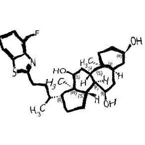 CC(CCc1nc2c(F)cccc2s1)[C@H]1CC[C@H]2[C@@H]3[C@H](O)C[C@@H]4C[C@H](O)CC[C@]4(C)[C@H]3C[C@H](O)[C@]12C